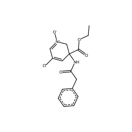 CCOC(=O)C1(NC(=O)Cc2ccccc2)C=C(Cl)C=[N+]([O-])C1